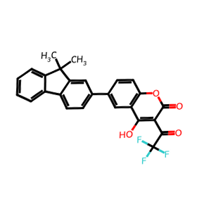 CC1(C)c2ccccc2-c2ccc(-c3ccc4oc(=O)c(C(=O)C(F)(F)F)c(O)c4c3)cc21